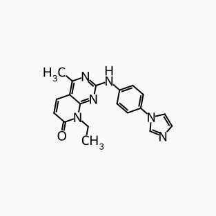 CCn1c(=O)ccc2c(C)nc(Nc3ccc(-n4ccnc4)cc3)nc21